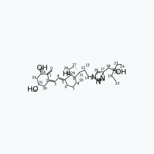 C=C1/C(=C\C=C2CCC[C@]3(C)[C@@H]([C@H](C)Cn4cc(CC(O)(CC)CC)nn4)CC[C@@H]23)C[C@H](O)C[C@H]1O